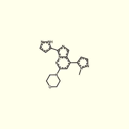 Cn1nccc1-c1cc(N2CCOCC2)nn2c(-c3ccn[nH]3)ncc12